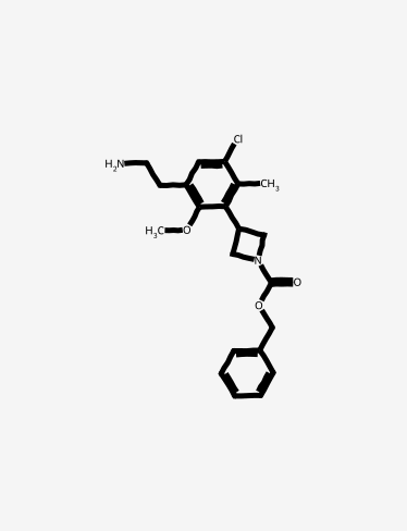 COc1c(CCN)cc(Cl)c(C)c1C1CN(C(=O)OCc2ccccc2)C1